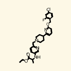 CCOC(=O)C(C)Nc1ccc(CN2CCC(c3cccc(OCc4ccc(Cl)cc4F)n3)CC2)nc1